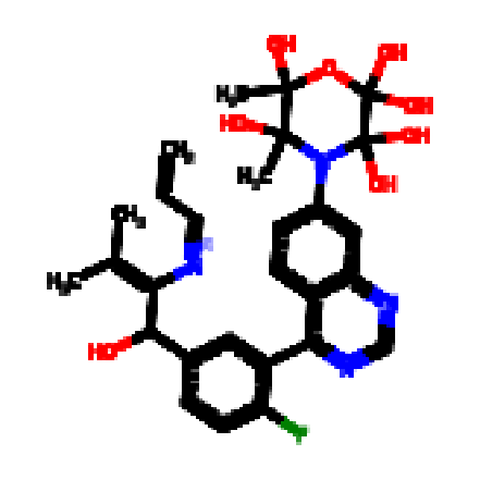 BC1(O)OC(O)(O)C(O)(O)N(c2ccc3c(-c4cc(C(O)C(/N=C\C=C)=C(C)C)ccc4F)ncnc3c2)C1(C)O